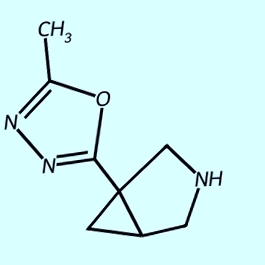 Cc1nnc(C23CNCC2C3)o1